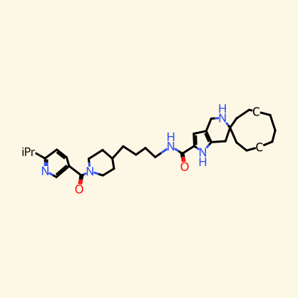 CC(C)c1ccc(C(=O)N2CCC(CCCCNC(=O)c3cc4c([nH]3)CC3(CCCCCCCCC3)NC4)CC2)cn1